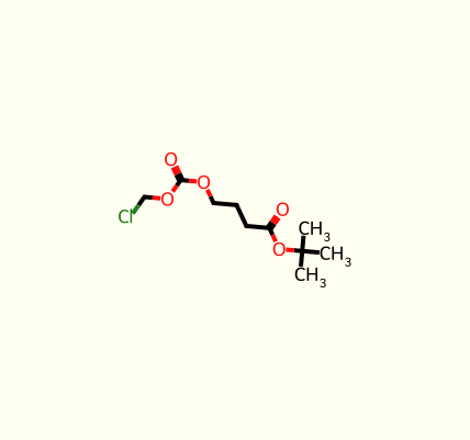 CC(C)(C)OC(=O)CCCOC(=O)OCCl